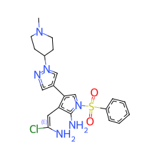 CN1CCC(n2cc(-c3cn(S(=O)(=O)c4ccccc4)c(N)c3/C=C(\N)Cl)cn2)CC1